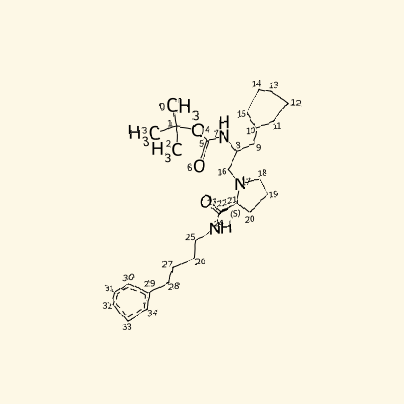 CC(C)(C)OC(=O)NC(CC1CCCCC1)CN1CCC[C@H]1C(=O)NCCCCc1ccccc1